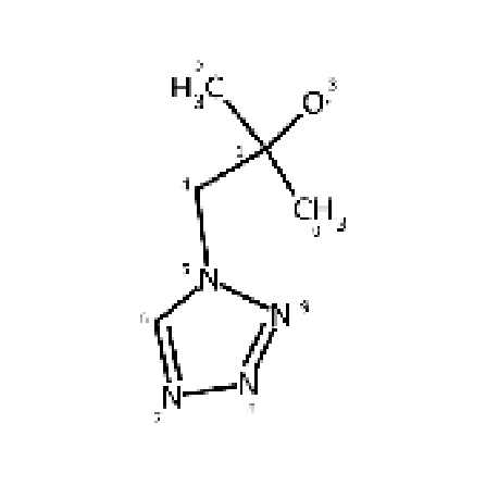 CC(C)([O])Cn1cnnn1